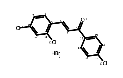 Br.O=C(C=Cc1ccc(Cl)cc1Cl)c1ccc(Cl)cc1